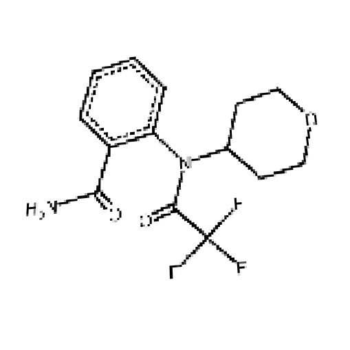 NC(=O)c1ccccc1N(C(=O)C(F)(F)F)C1CCOCC1